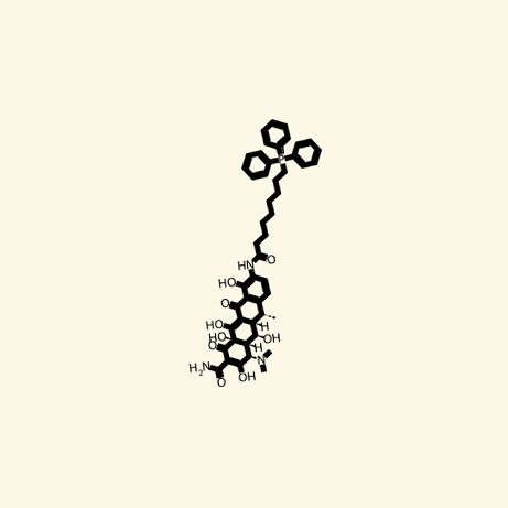 C[C@H]1c2ccc(NC(=O)CCCCCCCC[PH](c3ccccc3)(c3ccccc3)c3ccccc3)c(O)c2C(=O)C2=C(O)[C@]3(O)C(=O)C(C(N)=O)=C(O)[C@@H](N(C)C)[C@@H]3[C@@H](O)[C@@H]21